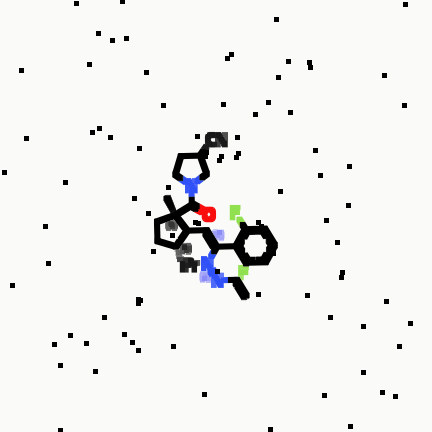 C=C/N=N\C(=C/C1[C@H](C(C)C)CC[C@]1(C)C(=O)N1CCC(C#N)C1)c1c(F)cccc1F